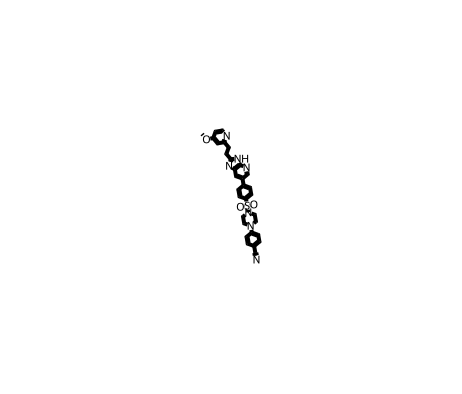 COc1ccnc(CCc2nc3cc(-c4ccc(S(=O)(=O)N5CCN(c6ccc(C#N)cc6)CC5)cc4)cnc3[nH]2)c1